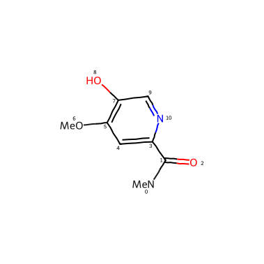 CNC(=O)c1cc(OC)c(O)cn1